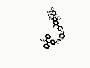 CCC(=C(c1ccccc1)c1ccc(OCCN2CCC(CN3CCC(c4cc5c(cc4F)C(=O)N(C4CCC(=O)NC4=O)C5=O)CC3)CC2)cc1)c1ccccc1